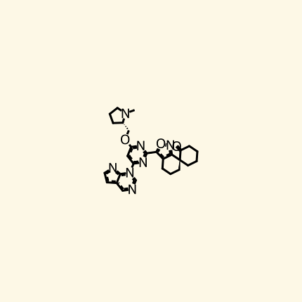 CN1CCC[C@H]1COc1cc(-n2cncc3ccnc2-3)nc(-c2onc3c2CCC[C@@]32CCCCC2=O)n1